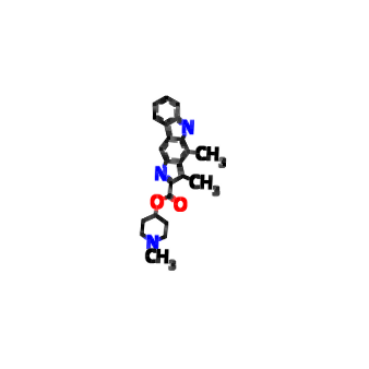 CC1=c2c(cc3c(c2C)N=c2ccccc2=3)N=C1C(=O)OC1CCN(C)CC1